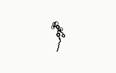 CCCCCCCCC#Cc1ccc(CN(C(=O)CCC2CCCC2)c2ccc3c(c2)C(=O)OC(C)(C)O3)cc1